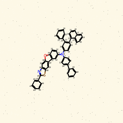 c1ccc(-c2ccc(N(c3ccc(-c4cccc5ccccc45)c(-c4ccccc4)c3)c3ccc4oc5cc6nc(-c7ccccc7)sc6cc5c4c3)cc2)cc1